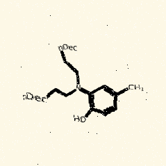 CCCCCCCCCCCCN(CCCCCCCCCCCC)c1cc(C)ccc1O